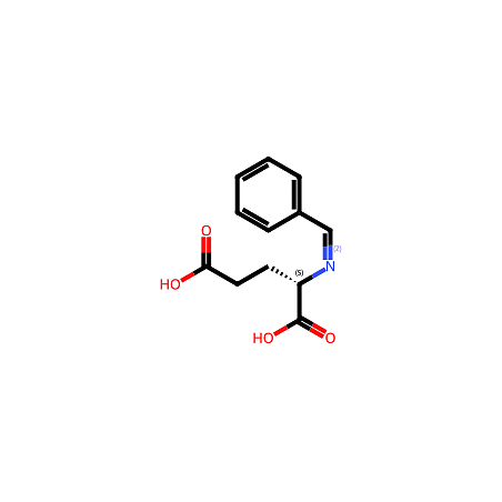 O=C(O)CC[C@H](/N=C\c1ccccc1)C(=O)O